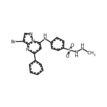 CNNS(=O)(=O)c1ccc(Nc2cc(-c3ccccc3)nc3c(Br)cnn23)cc1